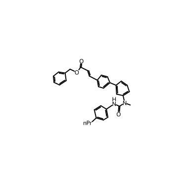 CCCc1ccc(NC(=O)N(C)c2cccc(-c3ccc(C=CC(=O)OCc4ccccc4)cc3)c2)cc1